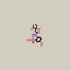 CCC(CC(=O)Nc1ccc(OC)cc1S(=O)(=O)O)(OC)C(C)=O